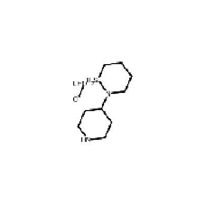 C1CCN(C2CCNCC2)[SiH2]C1.O=CCl